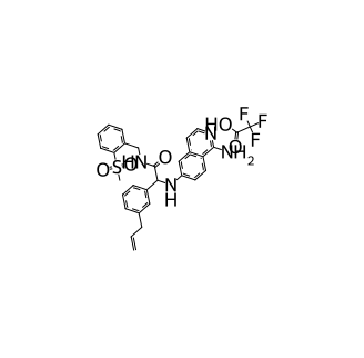 C=CCc1cccc(C(Nc2ccc3c(N)nccc3c2)C(=O)NCc2ccccc2S(C)(=O)=O)c1.O=C(O)C(F)(F)F